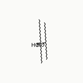 CCCCCCCCCCCCC(CO)CCCCCCCCCC.CCCCCCCCCCCCCCC(CO)CCCCCCCCCCCC